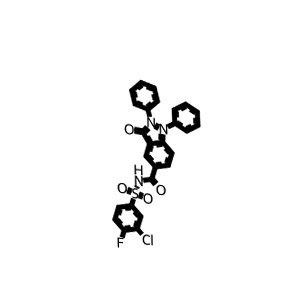 O=C(NS(=O)(=O)c1ccc(F)c(Cl)c1)c1ccc2c(c1)c(=O)n(-c1ccccc1)n2-c1ccccc1